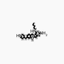 CCCCCNc1nc(N)nc2ccn(Cc3ccc(CC4CCNCC4)cc3OC)c12